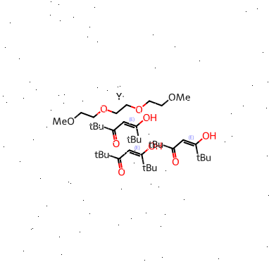 CC(C)(C)C(=O)/C=C(/O)C(C)(C)C.CC(C)(C)C(=O)/C=C(/O)C(C)(C)C.CC(C)(C)C(=O)/C=C(/O)C(C)(C)C.COCCOCCOCCOC.[Y]